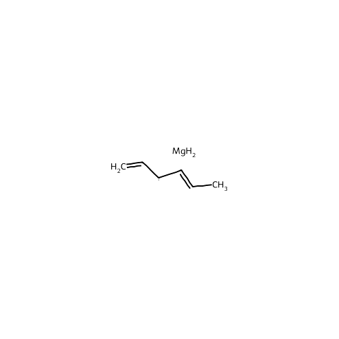 C=C[CH]/C=C/C.[MgH2]